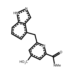 CNC(=O)c1cc(C(=O)O)cc(Cc2cccc3[nH]ncc23)n1